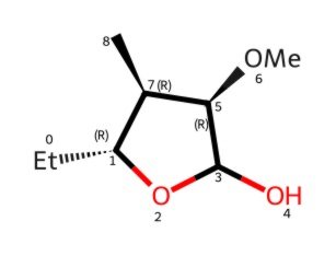 CC[C@H]1OC(O)[C@H](OC)[C@@H]1C